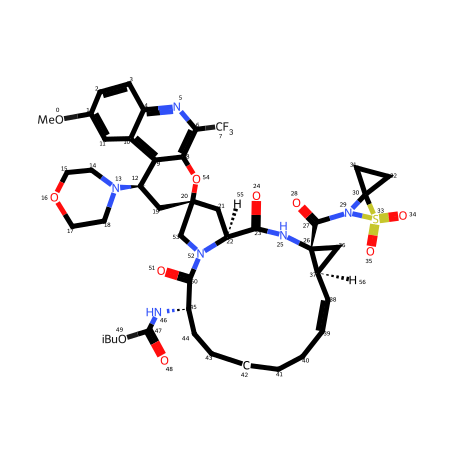 COc1ccc2nc(C(F)(F)F)c3c(c2c1)[C@H](N1CCOCC1)C[C@]1(C[C@H]2C(=O)N[C@]4(C(=O)N5C6(CC6)S5(=O)=O)C[C@H]4/C=C\CCCCC[C@H](NC(=O)OCC(C)C)C(=O)N2C1)O3